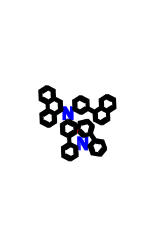 c1cc(-c2cccc3ccccc23)cc(N(c2ccc(-c3ccccc3-n3c4ccccc4c4ccccc43)cc2)c2cc3ccccc3c3ccccc23)c1